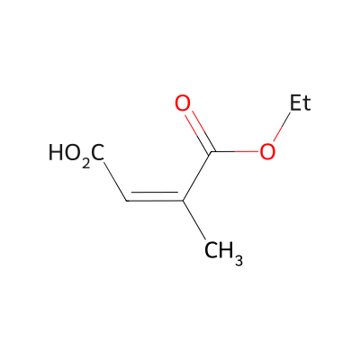 CCOC(=O)/C(C)=C\C(=O)O